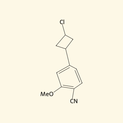 COc1cc(C2CC(Cl)C2)ccc1C#N